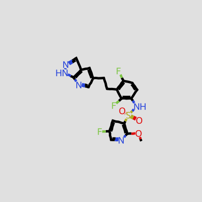 COc1ncc(F)cc1S(=O)(=O)Nc1ccc(F)c(CCc2cnc3[nH]ncc3c2)c1F